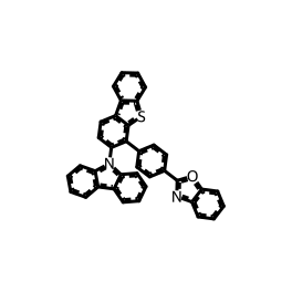 c1ccc2oc(-c3ccc(-c4c(-n5c6ccccc6c6ccccc65)ccc5c4sc4ccccc45)cc3)nc2c1